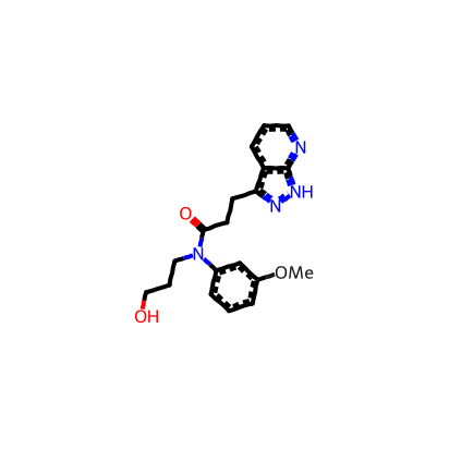 COc1cccc(N(CCCO)C(=O)CCc2n[nH]c3ncccc23)c1